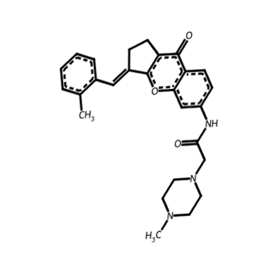 Cc1ccccc1C=C1CCc2c1oc1cc(NC(=O)CN3CCN(C)CC3)ccc1c2=O